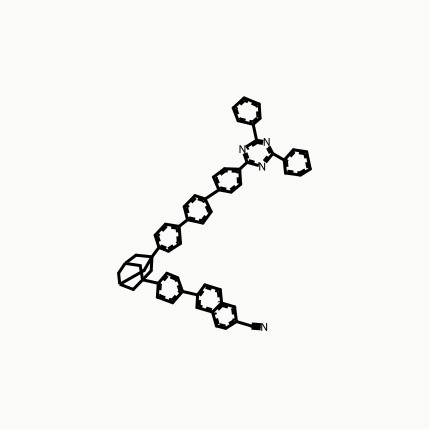 N#Cc1ccc2cc(-c3ccc(C45CC6CC(CC(c7ccc(-c8ccc(-c9ccc(-c%10nc(-c%11ccccc%11)nc(-c%11ccccc%11)n%10)cc9)cc8)cc7)(C6)C4)C5)cc3)ccc2c1